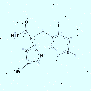 CC(C)c1cnc(N(Cc2ccc(F)cc2F)C(N)=O)s1